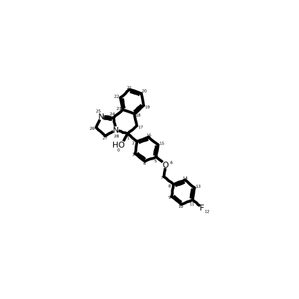 OC1(c2ccc(OCc3ccc(F)cc3)cc2)Cc2ccccc2C2=NCCN21